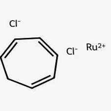 C1=CC=CCC=C1.[Cl-].[Cl-].[Ru+2]